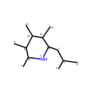 CC(C)CC1NC(C)C(C)C(C)C1C